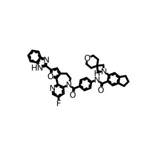 O=C(Nc1ccc(C(=O)N2CCc3cc(-c4nc5ccccc5[nH]4)oc3-c3ncc(F)cc32)cc1)c1cc2c(cc1N1CC3(CCOCC3)C1)CCC2